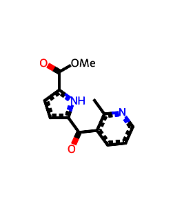 COC(=O)c1ccc(C(=O)c2cccnc2C)[nH]1